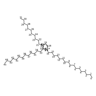 CCCCCCCCCCCCCCCCC[n+]1ccn(CCCCCCCCCCC)c1CCCCCCCCCCCCC